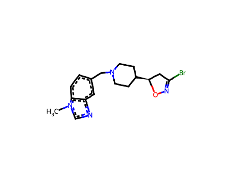 Cn1cnc2cc(CN3CCC([C@H]4CC(Br)=NO4)CC3)ccc21